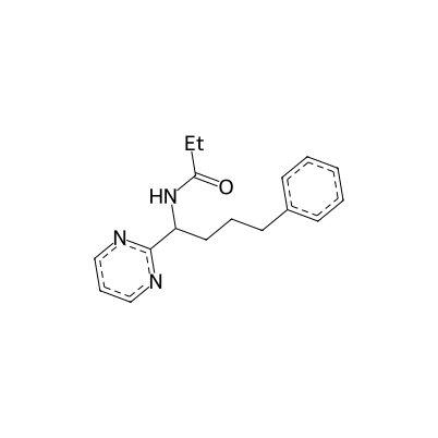 CCC(=O)NC(CCCc1ccccc1)c1ncccn1